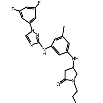 COCCN1CC(Nc2cc(C)cc(Nc3ncn(-c4cc(F)cc(F)c4)n3)c2)CC1=O